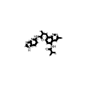 Cc1cc2c(NC(=O)C(C)C)ccc(CC(C)C(=O)Nc3ccc4[nH]cnc4n3)c2nn1